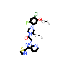 COc1cc(N2CCN(C(=O)Cn3nc(-c4nccs4)c4cccnc43)C(C)C2)c(F)cc1Cl